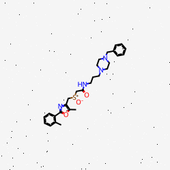 Cc1ccccc1-c1nc(C[S+]([O-])CC(=O)NCCCN2CCN(Cc3ccccc3)CC2)c(C)o1